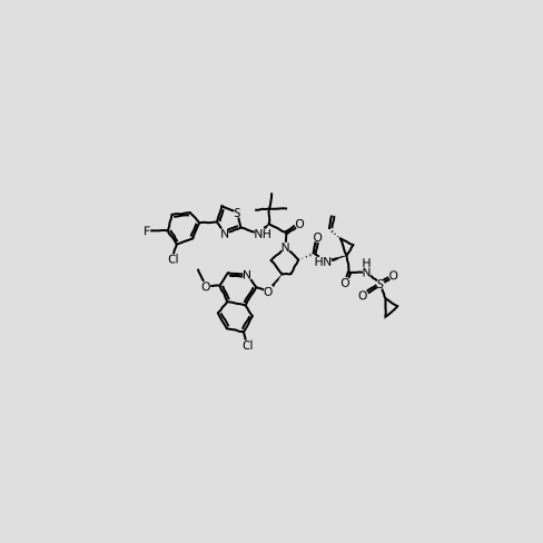 C=C[C@@H]1C[C@]1(NC(=O)[C@@H]1C[C@@H](Oc2ncc(OC)c3ccc(Cl)cc23)CN1C(=O)[C@@H](Nc1nc(-c2ccc(F)c(Cl)c2)cs1)C(C)(C)C)C(=O)NS(=O)(=O)C1CC1